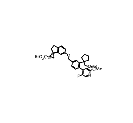 CCOC(=O)[C@@H]1C[C@]12CCc1ccc(OCc3ccc(-c4cc(OC)ncc4F)c(C4(COC)CCCC4)c3)cc12